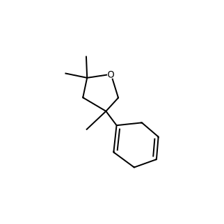 CC1(C)CC(C)(C2=CCC=CC2)CO1